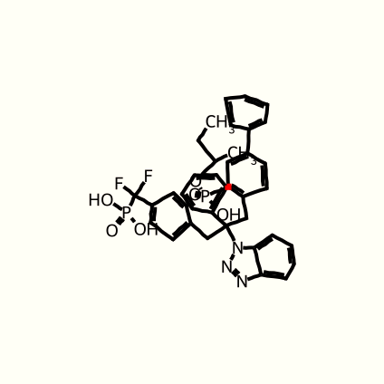 CCC(C)OP(=O)(O)c1cc(-c2ccccc2)ccc1CC(Cc1ccc(C(F)(F)P(=O)(O)O)cc1)(c1ccccc1)n1nnc2ccccc21